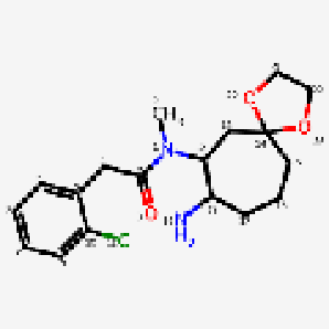 CN(C(=O)Cc1ccccc1Cl)C1CC2(CCCC1N)OCCO2